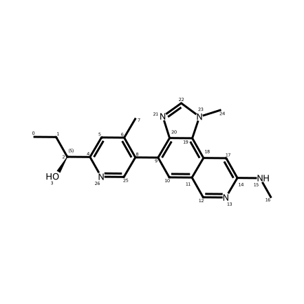 CC[C@H](O)c1cc(C)c(-c2cc3cnc(NC)cc3c3c2ncn3C)cn1